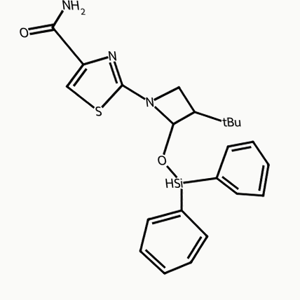 CC(C)(C)C1CN(c2nc(C(N)=O)cs2)C1O[SiH](c1ccccc1)c1ccccc1